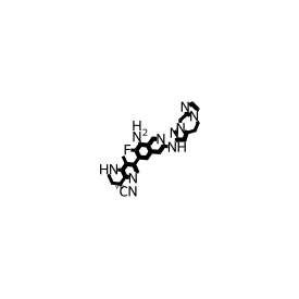 Cc1c(-c2cc3cc(Nc4cc5n(n4)Cc4nccn4CC5)ncc3c(N)c2F)cnc2c1NCC[C@H]2C#N